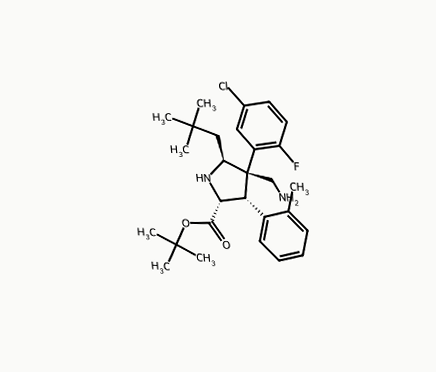 Cc1ccccc1[C@@H]1[C@H](C(=O)OC(C)(C)C)N[C@@H](CC(C)(C)C)[C@]1(CN)c1cc(Cl)ccc1F